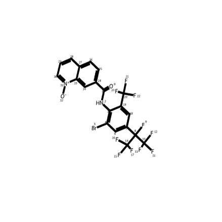 O=C(Nc1c(Br)cc(C(F)(C(F)(F)F)C(F)(F)F)cc1C(F)(F)F)c1ccc2ccc[n+]([O-])c2c1